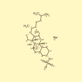 CC(C)CCC[C@@H](C)[C@H]1CC[C@H]2[C@@H]3CCC4C[C@@H](OS(=O)(=O)[O-])CC[C@]4(C)[C@H]3CC[C@]12C.[Na+]